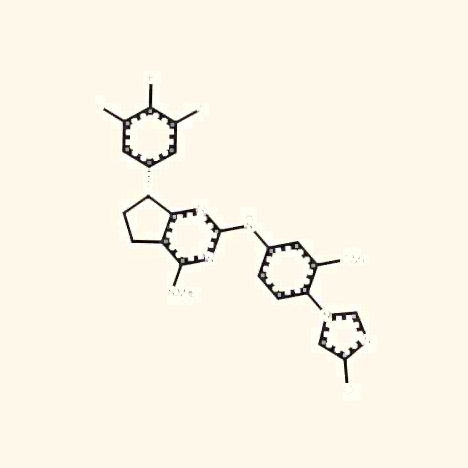 CNc1nc(Nc2ccc(-n3cnc(Cl)c3)c(OC)c2)nc2c1CC[C@@H]2c1cc(F)c(F)c(F)c1